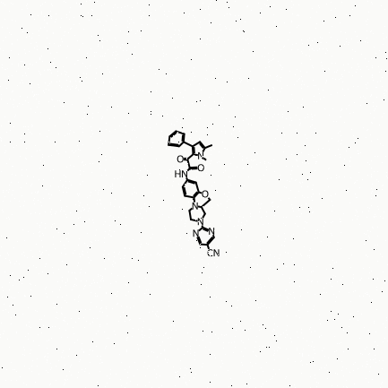 Cc1cc(-c2ccccc2)c(C(=O)C(=O)Nc2ccc3c(c2)OCC2CN(c4ncc(C#N)cn4)CCN32)n1C